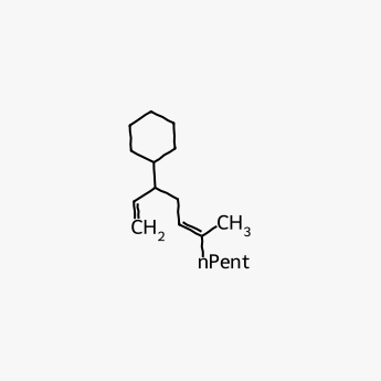 C=CC(CC=C(C)CCCCC)C1CCCCC1